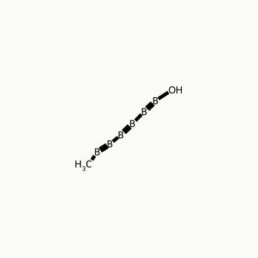 CB=BB=BB=BO